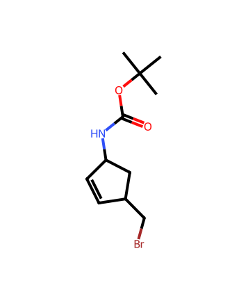 CC(C)(C)OC(=O)NC1C=CC(CBr)C1